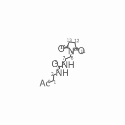 CC(=O)CCNC(=O)NCCN1C(=O)CCC1=O